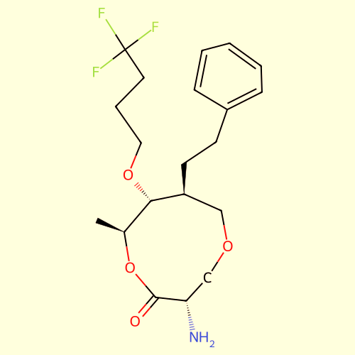 C[C@@H]1OC(=O)[C@@H](N)COC[C@H](CCc2ccccc2)[C@H]1OCCCC(F)(F)F